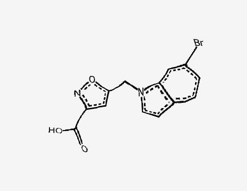 O=C(O)c1cc(Cn2ccc3ccc(Br)cc32)on1